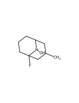 CC1CC2CCCC(F)(C1)N2O